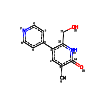 N#Cc1cc(-c2ccncc2)c(CO)[nH]c1=O